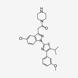 COc1cccc(-c2nc(-n3nc(CC(=O)N4CCNCC4)c4cc(Cl)ccc43)sc2C(C)C)c1